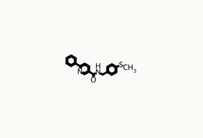 CSc1ccc(CNC(=O)c2ccc(-c3ccccc3)nc2)cc1